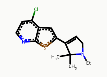 CCN1CC=C(c2cc3c(Cl)ccnc3s2)C1(C)C